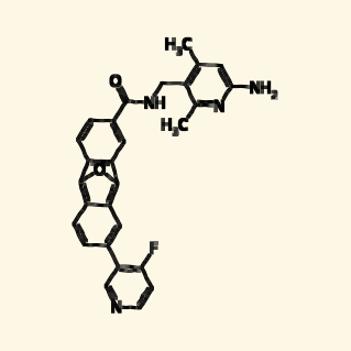 Cc1cc(N)nc(C)c1CNC(=O)c1ccc2c(c1)c1oc2c2ccc(-c3cnccc3F)cc21